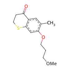 COCCCOc1cc2c(cc1C)C(=O)CCS2